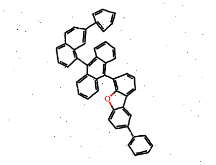 c1ccc(-c2ccc3cccc(-c4c5ccccc5c(-c5cccc6c5oc5ccc(-c7ccccc7)cc56)c5ccccc45)c3c2)cc1